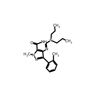 CCCN(CCC)c1nc2c(-c3ccccc3C)nn(C)c2c(=O)[nH]1